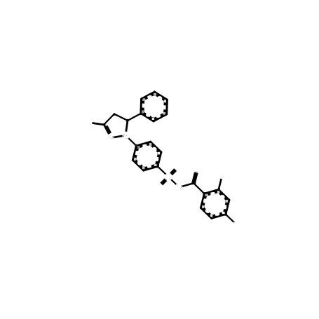 O=C(NS(=O)(=O)c1ccc(N2N=C(C(F)(F)F)CC2c2ccccc2)cc1)c1ccc(F)cc1C(F)(F)F